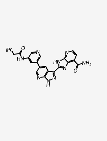 CC(C)CC(=O)Nc1cncc(-c2cnc3[nH]nc(-c4nc5c(C(N)=O)ccnc5[nH]4)c3c2)c1